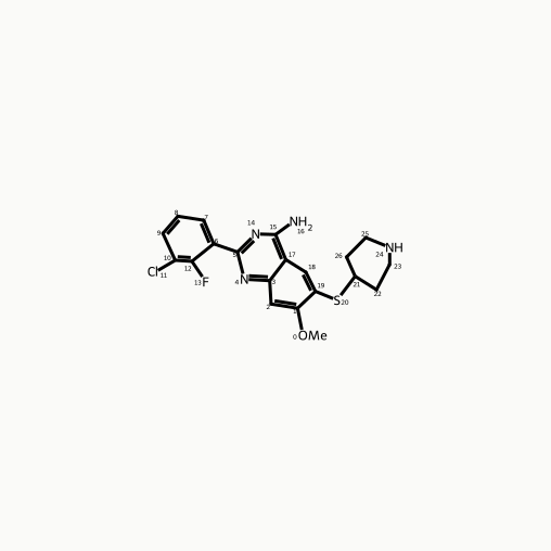 COc1cc2nc(-c3cccc(Cl)c3F)nc(N)c2cc1SC1CCNCC1